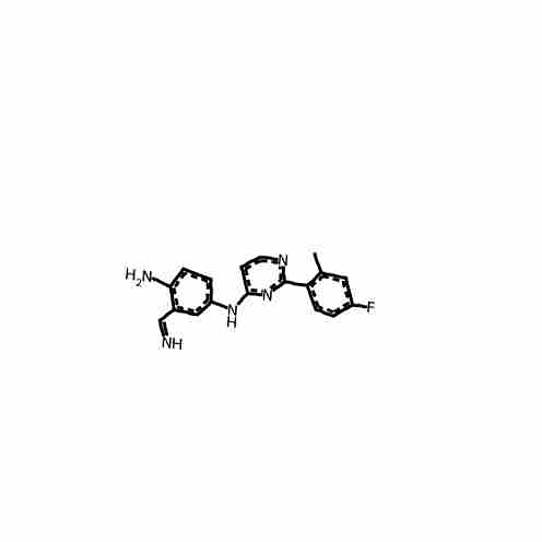 Cc1cc(F)ccc1-c1nccc(Nc2ccc(N)c(C=N)c2)n1